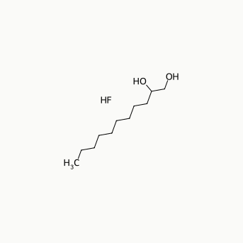 CCCCCCCCCC(O)CO.F